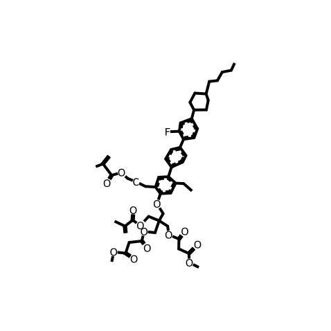 C=C(C)C(=O)OCCCc1cc(-c2ccc(-c3ccc(C4CCC(CCCCC)CC4)cc3F)cc2)c(CC)cc1OCC(COC(=O)CC(=O)OC)(COC(=O)CC(=O)OC)COC(=O)C(=C)C